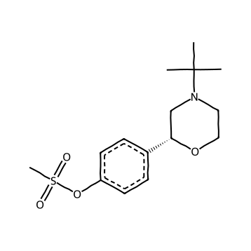 CC(C)(C)N1CCO[C@H](c2ccc(OS(C)(=O)=O)cc2)C1